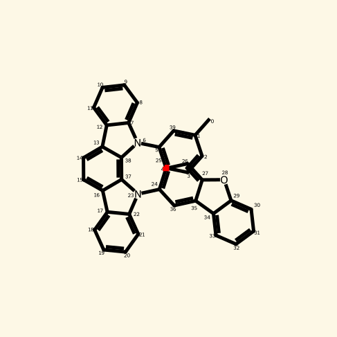 Cc1cccc(-n2c3ccccc3c3ccc4c5ccccc5n(-c5ccc6oc7ccccc7c6c5)c4c32)c1